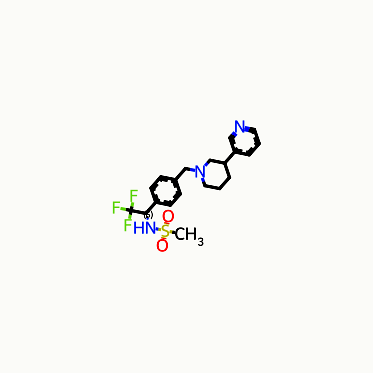 CS(=O)(=O)N[C@@H](c1ccc(CN2CCCC(c3cccnc3)C2)cc1)C(F)(F)F